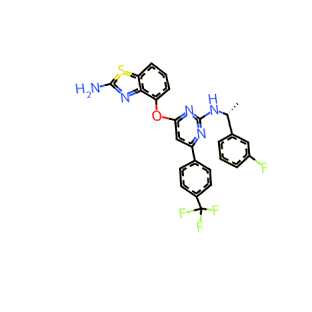 C[C@@H](Nc1nc(Oc2cccc3sc(N)nc23)cc(-c2ccc(C(F)(F)F)cc2)n1)c1cccc(F)c1